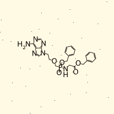 Nc1ncnc2c1ncn2CCOCP(=O)(NCC(=O)OCc1ccccc1)OCc1ccccc1